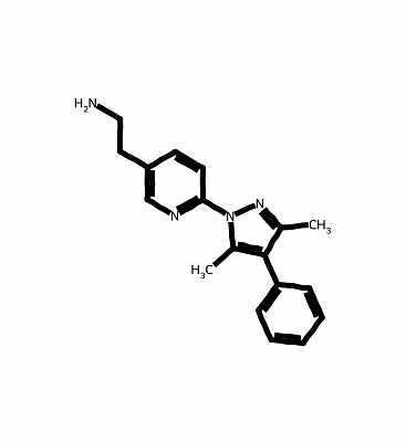 Cc1nn(-c2ccc(CCN)cn2)c(C)c1-c1ccccc1